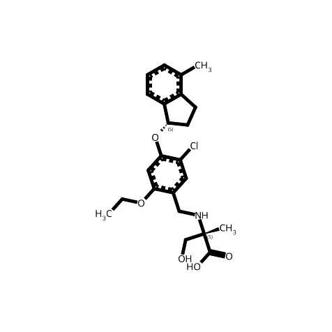 CCOc1cc(O[C@H]2CCc3c(C)cccc32)c(Cl)cc1CN[C@@](C)(CO)C(=O)O